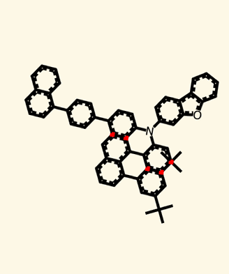 CC(C)(C)c1cc(-c2cccc3cccc(-c4ccccc4N(c4ccc(-c5ccc(-c6cccc7ccccc67)cc5)cc4)c4ccc5c(c4)oc4ccccc45)c23)cc(C(C)(C)C)c1